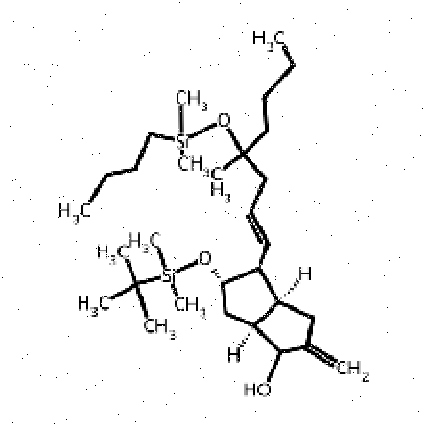 C=C1C[C@@H]2[C@H](/C=C/CC(C)(CCCC)O[Si](C)(C)CCCC)[C@@H](O[Si](C)(C)C(C)(C)C)C[C@@H]2C1O